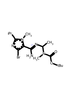 CC(C)c1nc(Br)c(/C(N)=N/C(C)N(C)C(=O)OC(C)(C)C)n1C